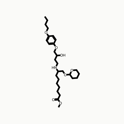 CCCCOc1ccc(OCC(O)CCNC(CCCCCCC(=O)OC)COC2CCCCO2)cc1